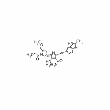 C=CC(=O)N1C[C@@H](n2nc(C#Cc3ccc4nc(C)[nH]c4c3)c(C(N)=O)c2NC)C[C@@H]1COC